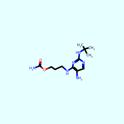 CC(C)(C)Nc1ncc(N)c(NCCCOC(N)=O)n1